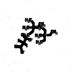 CC[N+](C)(CC)CC.CC[N+](C)(CC)CC.O=C([O-])C(F)(I)C(=O)[O-]